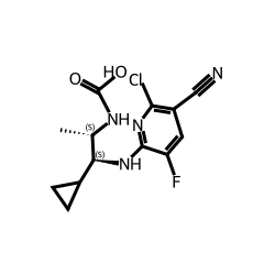 C[C@H](NC(=O)O)[C@@H](Nc1nc(Cl)c(C#N)cc1F)C1CC1